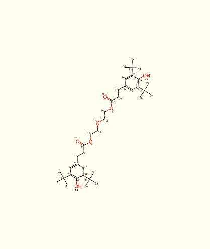 CC(C)(C)c1cc(CCC(=O)OCCOCCOC(=O)CCc2cc(C(C)(C)C)c(O)c(C(C)(C)C)c2)cc(C(C)(C)C)c1O